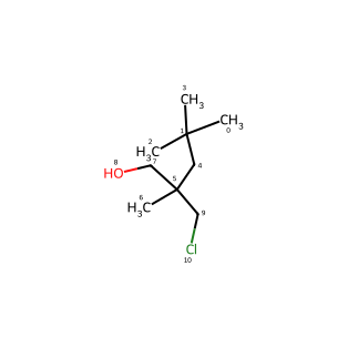 CC(C)(C)CC(C)(CO)CCl